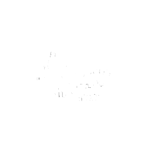 CC(C)CCCCC(=O)[O-].CC(C)CCCCC(=O)[O-].CC(C)CCCCC(=O)[O-].[Tb+3]